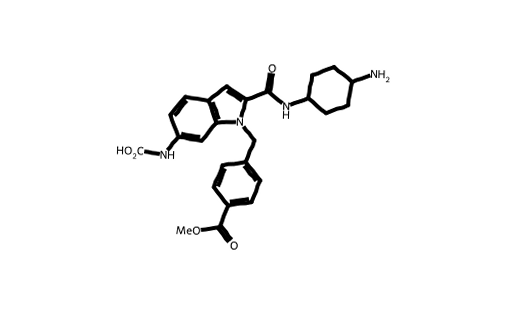 COC(=O)c1ccc(Cn2c(C(=O)NC3CCC(N)CC3)cc3ccc(NC(=O)O)cc32)cc1